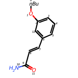 CCCCOc1cccc(/C=C/C(N)=O)c1